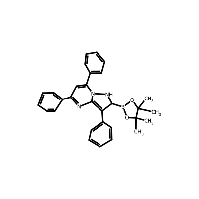 CC1(C)OB(C2NN3C(c4ccccc4)=CC(c4ccccc4)=NC3=C2c2ccccc2)OC1(C)C